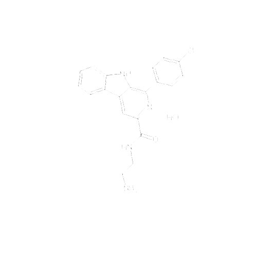 Cl.NCCNC(=O)c1cc2c([nH]c3ccccc32)c(-c2ccc(Cl)cc2)n1